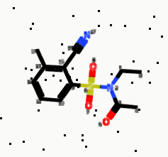 CCN(C(C)=O)S(=O)(=O)c1cccc(C)c1C#N